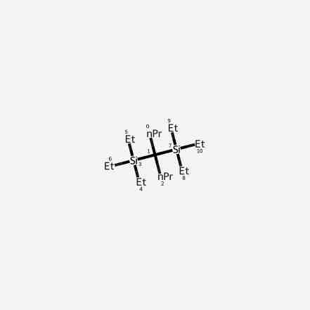 CCCC(CCC)([Si](CC)(CC)CC)[Si](CC)(CC)CC